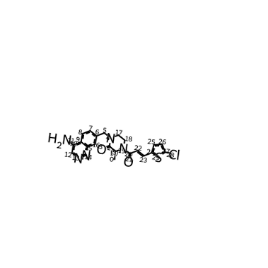 C[C@H]1C(=O)N(Cc2ccc3c(N)cnnc3c2)CCN1C(=O)C=Cc1ccc(Cl)s1